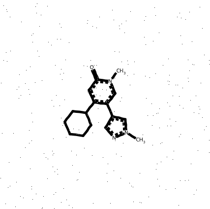 Cn1cc(-c2cn(C)c(=O)cc2C2CCCCC2)cn1